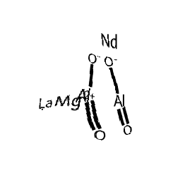 [La].[Mg+2].[Nd].[O]=[Al][O-].[O]=[Al][O-]